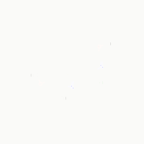 COc1cnc2c(Cl)cc(-c3nc4c(C)cc(OC)cc4s3)cc2c1